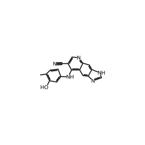 Cc1ccc(Nc2c(C#N)cnc3cc4[nH]cnc4cc23)cc1O